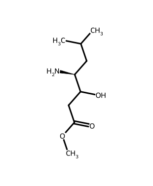 COC(=O)CC(O)[C@@H](N)CC(C)C